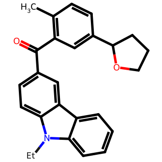 CCn1c2ccccc2c2cc(C(=O)c3cc(C4CCCO4)ccc3C)ccc21